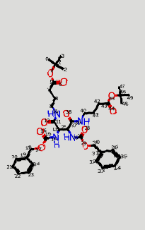 CC(C)(C)OC(=O)CCCNC(=O)C(NC(=O)OCc1ccccc1)C(NC(=O)OCc1ccccc1)C(=O)NCCCC(=O)OC(C)(C)C